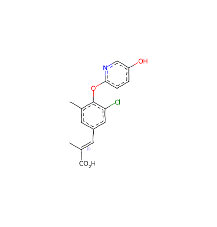 C/C(=C\c1cc(C)c(Oc2ccc(O)cn2)c(Cl)c1)C(=O)O